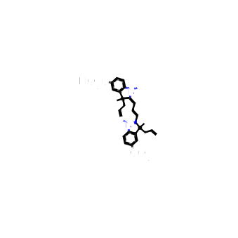 C=CCC1(C)C(/C=C/C=C2/N(C)c3ccc(C(=O)O)cc3C2(C)CC=C)=[N+](C)c2ccc(C(=O)O)cc21